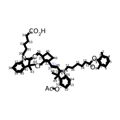 CC(=O)[O-].Cc1cccc(C)c1OC(=O)CCCCC[N+]1=C(/C=C/C2=C(Cl)C(C=C=C3N(CCCCCC(=O)O)c4ccccc4C3(C)C)CC2)C(C)(C)c2ccccc21